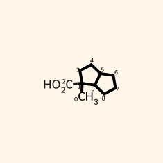 CC1(C(=O)O)CCC2CCCC21